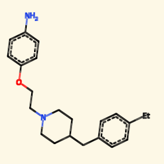 CCc1ccc(CC2CCN(CCOc3ccc(N)cc3)CC2)cc1